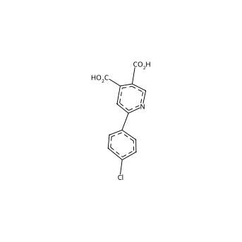 O=C(O)c1cnc(-c2ccc(Cl)cc2)cc1C(=O)O